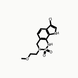 COCCN1Cc2ccc3c(Cl)c[nH]c3c2NS1(=O)=O